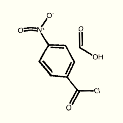 O=C(Cl)c1ccc([N+](=O)[O-])cc1.O=CO